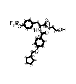 O=C(NC(Cc1ccc(OC(F)(F)F)cc1)C(=O)NCCO)c1ccc(OCC2CCCC2)cc1